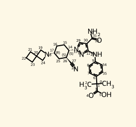 CC(C)(C(=O)O)c1ccc(Nc2nn([C@H]3CC[C@@H](N4CC5(CCC5)C4)C[C@@H]3C#N)cc2C(N)=O)cc1